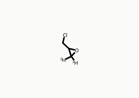 [2H]C1([2H])OC1CCl